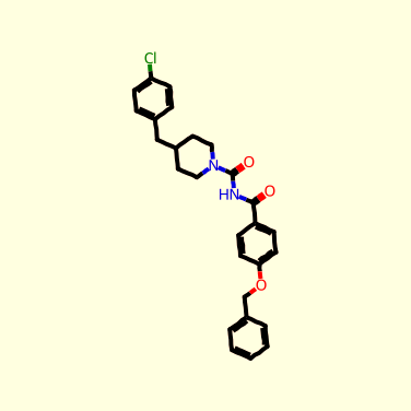 O=C(NC(=O)N1CCC(Cc2ccc(Cl)cc2)CC1)c1ccc(OCc2ccccc2)cc1